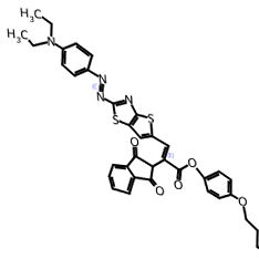 CCCCCOc1ccc(OC(=O)/C(=C/c2cc3sc(/N=N/c4ccc(N(CC)CC)cc4)nc3s2)C2C(=O)c3ccccc3C2=O)cc1